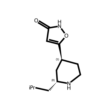 CC(C)C[C@@H]1C[C@@H](c2cc(=O)[nH]o2)CCN1